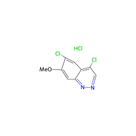 COc1cc2nncc(Cl)c2cc1Cl.Cl